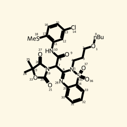 CCCCOCCCN1C(C(C(=O)Nc2cc(Cl)ccc2SC)N2C(=O)OC(C)(C)C2=O)=Nc2ccccc2S1(=O)=O